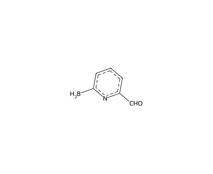 Bc1cccc(C=O)n1